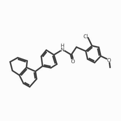 COc1ccc(CC(=O)Nc2ccc(-c3cccc4c3C=CCC4)cc2)c(Cl)c1